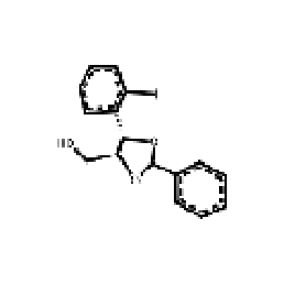 OC[C@@H]1OC(c2ccccc2)O[C@H]1c1ccccc1I